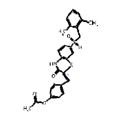 CC(=O)Oc1ccc(/C=C2/Sc3cc(S(=O)(=O)Cc4c(C)cccc4C)ccc3NC2=O)cc1